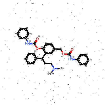 CC(C)N(CCC(c1ccccc1)c1cc(COC(=O)Nc2ccccc2)ccc1OC(=O)Nc1ccccc1)C(C)C